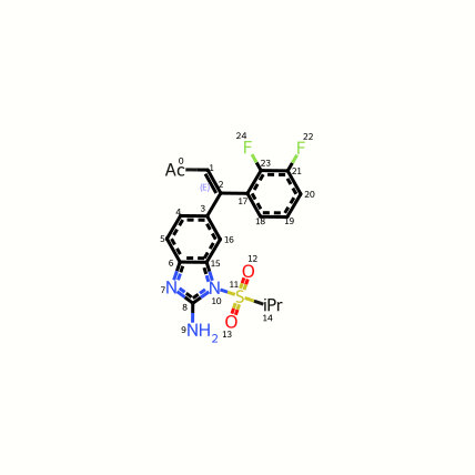 CC(=O)/C=C(\c1ccc2nc(N)n(S(=O)(=O)C(C)C)c2c1)c1cccc(F)c1F